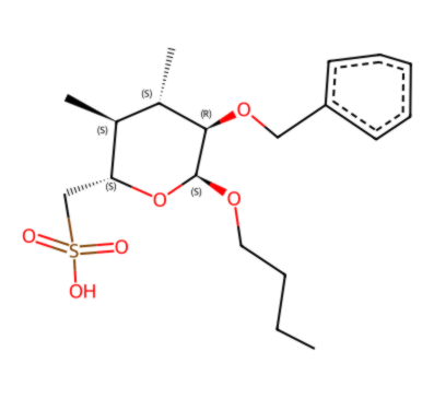 CCCCO[C@H]1O[C@H](CS(=O)(=O)O)[C@@H](C)[C@H](C)[C@H]1OCc1ccccc1